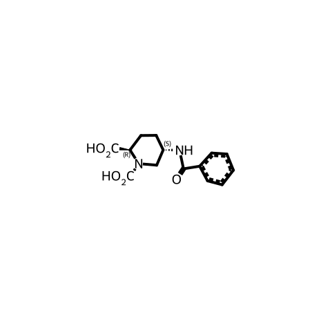 O=C(N[C@H]1CC[C@H](C(=O)O)N(C(=O)O)C1)c1ccccc1